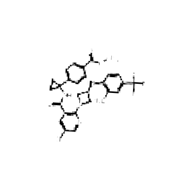 COC(=O)c1ccc(C2(NC(=O)c3cc(Cl)cnc3N3CC(Nc4ccc(C(F)(F)F)cc4C)C3)CC2)cc1